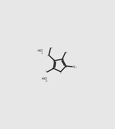 CCC1=C(C)C[C]([Ti])=C1C.Cl.Cl